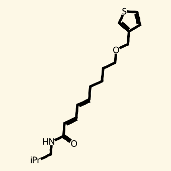 CC(C)CNC(=O)/C=C/C=C/CCCCOCc1ccsc1